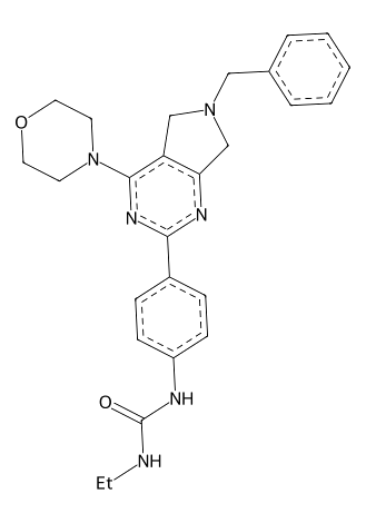 CCNC(=O)Nc1ccc(-c2nc3c(c(N4CCOCC4)n2)CN(Cc2ccccc2)C3)cc1